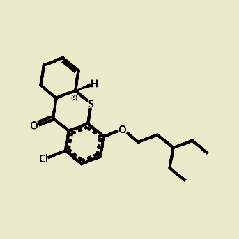 CCC(CC)CCOc1ccc(Cl)c2c1S[C@H]1C=CCCC1C2=O